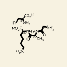 CC(C)C[C@H](N)C(=O)O.C[C@H](NC(=O)CN)C(=O)N[C@@H](CCCCN)C(=O)O